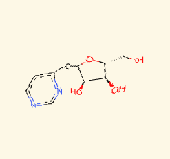 OC[C@H]1OC(Cc2ccncn2)[C@H](O)[C@@H]1O